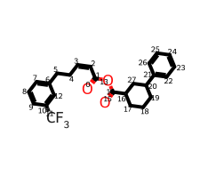 O=C(/C=C\CCc1cccc(C(F)(F)F)c1)OC(=O)C1CCCC(c2ccccc2)C1